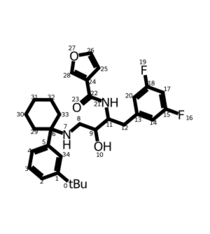 CC(C)(C)c1cccc(C2(NCC(O)C(Cc3cc(F)cc(F)c3)NC(=O)c3ccoc3)CCCCC2)c1